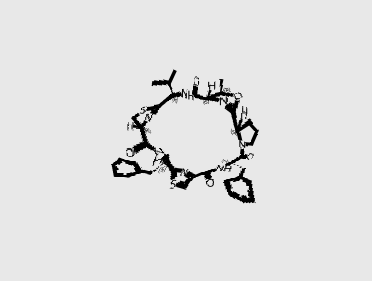 CC(C)[C@H]1NC(=O)[C@H]2N=C(O[C@@H]2C)[C@@H]2CCCN2C(=O)[C@H](Cc2ccccc2)NC(=O)c2csc(n2)[C@H](Cc2ccccc2)NC(=O)[C@@H]2CSC1=N2